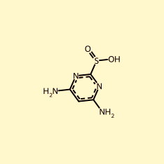 Nc1cc(N)nc(S(=O)O)n1